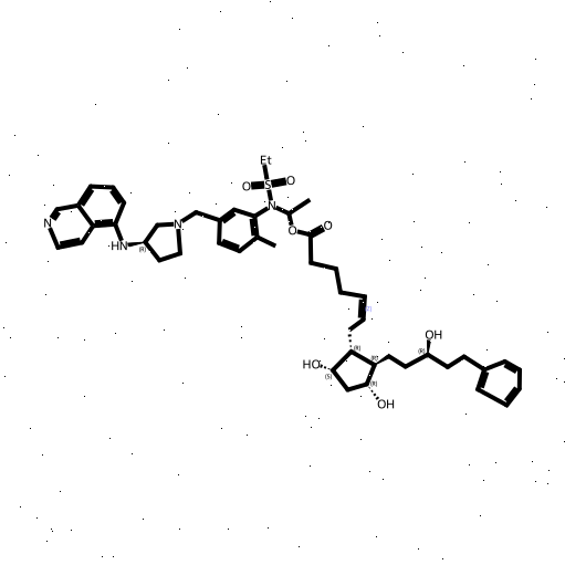 CCS(=O)(=O)N(c1cc(CN2CC[C@@H](Nc3cccc4cnccc34)C2)ccc1C)C(C)OC(=O)CCC/C=C\C[C@@H]1[C@@H](CC[C@@H](O)CCc2ccccc2)[C@H](O)C[C@@H]1O